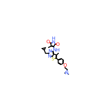 CC1=C(Nc2nc(CC3CC3)nc3sc(-c4ccc(OCCN(C)C)cc4)c(C)c23)C(=O)NC1=O